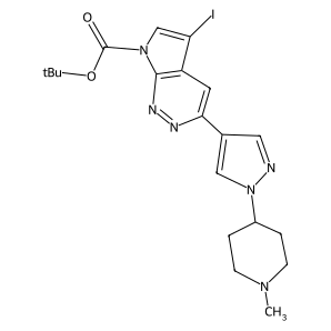 CN1CCC(n2cc(-c3cc4c(I)cn(C(=O)OC(C)(C)C)c4nn3)cn2)CC1